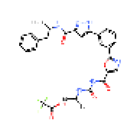 CCC(CC)NC(=O)NC(=O)c1cnc(-c2cccc(-c3cc(C(=O)NC(Cc4ccccc4)C(=O)O)n[nH]3)c2)o1.O=C(O)C(F)(F)F